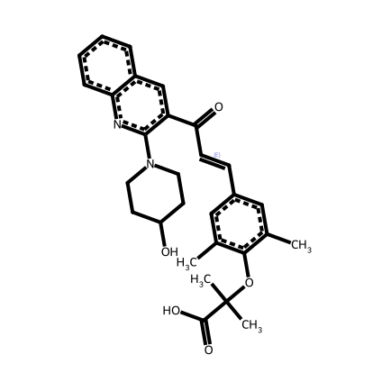 Cc1cc(/C=C/C(=O)c2cc3ccccc3nc2N2CCC(O)CC2)cc(C)c1OC(C)(C)C(=O)O